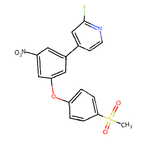 CS(=O)(=O)c1ccc(Oc2cc(-c3ccnc(F)c3)cc([N+](=O)[O-])c2)cc1